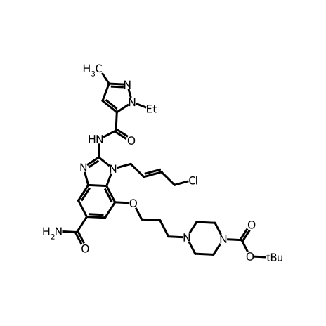 CCn1nc(C)cc1C(=O)Nc1nc2cc(C(N)=O)cc(OCCCN3CCN(C(=O)OC(C)(C)C)CC3)c2n1C/C=C/CCl